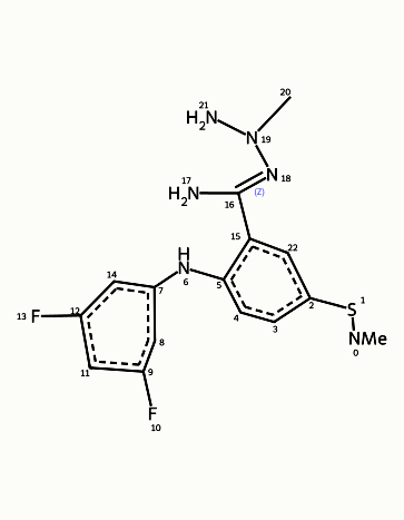 CNSc1ccc(Nc2cc(F)cc(F)c2)c(/C(N)=N/N(C)N)c1